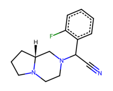 N#CC(c1ccccc1F)N1CCN2CCC[C@@H]2C1